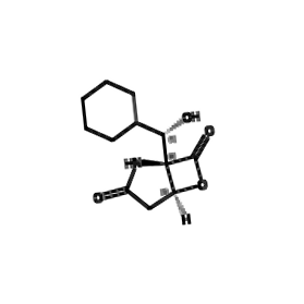 O=C1C[C@@H]2OC(=O)[C@]2([C@@H](O)C2CCCCC2)N1